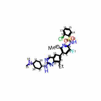 CCc1cc(-c2cc(F)c(NS(=O)(=O)c3ccccc3Cl)nc2OC)cc2cnc(N[C@H]3CC[C@@H](N(C)C)CC3)nc12